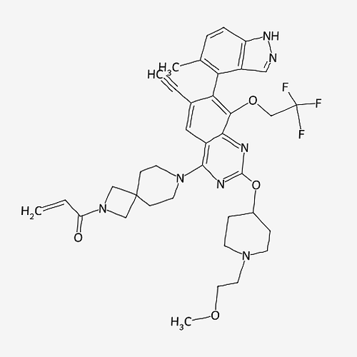 C#Cc1cc2c(N3CCC4(CC3)CN(C(=O)C=C)C4)nc(OC3CCN(CCOC)CC3)nc2c(OCC(F)(F)F)c1-c1c(C)ccc2[nH]ncc12